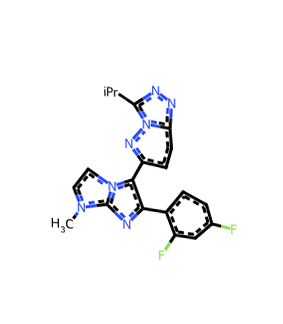 CC(C)c1nnc2ccc(-c3c(-c4ccc(F)cc4F)nc4n(C)ccn34)nn12